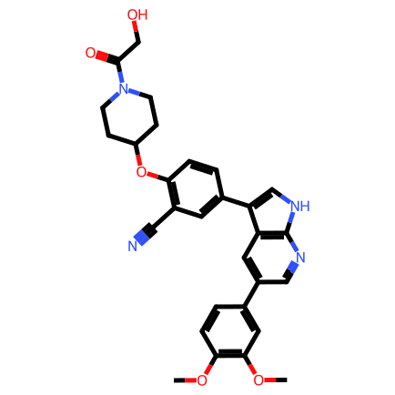 COc1ccc(-c2cnc3[nH]cc(-c4ccc(OC5CCN(C(=O)CO)CC5)c(C#N)c4)c3c2)cc1OC